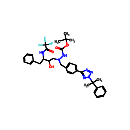 CC(C)(C)OC(=O)NN(Cc1ccc(-c2nnn(C(C)(C)c3ccccc3)n2)cc1)CC(O)C(Cc1ccccc1)NC(=O)C(F)(F)F